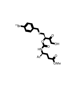 COC(=O)CC[C@H](NC(=O)O[C@@H](CSCc1ccc([77Br])cc1)C(=O)CO)C(C)=O